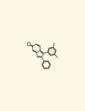 Cc1cc(C)cc(C2=C3C=CC(=O)C=C3C=C2c2ccccc2)c1